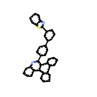 c1cc(-c2ccc(-c3nc4ccccc4c4c5ccccc5c5ccccc5c34)cc2)cc(-c2nc3ccccc3s2)c1